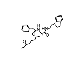 CCC(=O)CCCCC[C@H](NC(=O)Cc1ccccc1)C(=O)NCCN1CCc2ccccc21